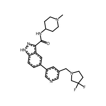 CN1CCC(NC(=O)c2n[nH]c3ccc(-c4cncc(CN5CCC(F)(F)C5)c4)cc23)CC1